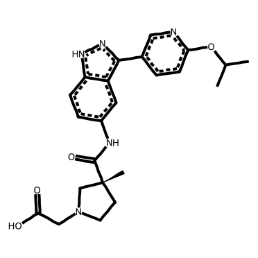 CC(C)Oc1ccc(-c2n[nH]c3ccc(NC(=O)[C@]4(C)CCN(CC(=O)O)C4)cc23)cn1